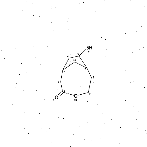 O=C1CC2CC(S)C(CCO1)C2